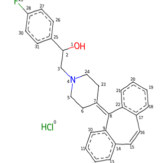 Cl.OC(CN1CCC(=C2c3ccccc3C=Cc3ccccc32)CC1)c1ccc(F)cc1